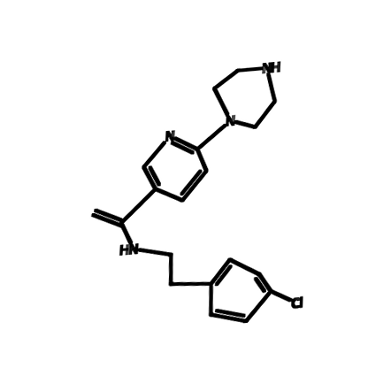 C=C(NCCc1ccc(Cl)cc1)c1ccc(N2CCNCC2)nc1